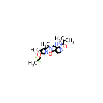 Cc1cc(C(C)N2Cc3c(ccnc3NC(=O)C(C)C)C2=O)ncc1OCC(C)(F)F